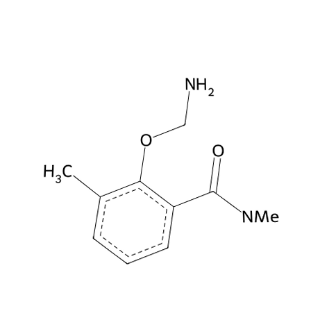 CNC(=O)c1cccc(C)c1OCN